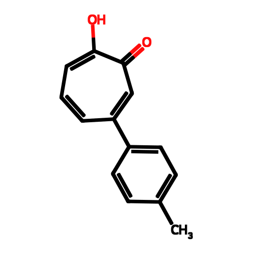 Cc1ccc(-c2cccc(O)c(=O)c2)cc1